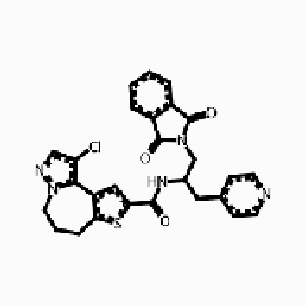 O=C(NC(Cc1ccncc1)CN1C(=O)c2ccccc2C1=O)c1cc2c(s1)CCCn1ncc(Cl)c1-2